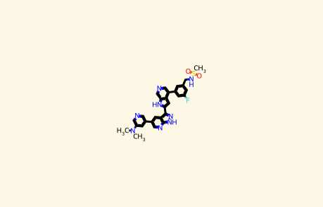 CN(C)c1cncc(-c2cnc3[nH]nc(-c4cc5c(-c6cc(F)cc(CNS(C)(=O)=O)c6)cncc5[nH]4)c3c2)c1